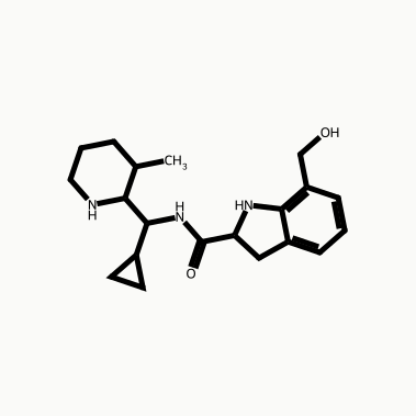 CC1CCCNC1C(NC(=O)C1Cc2cccc(CO)c2N1)C1CC1